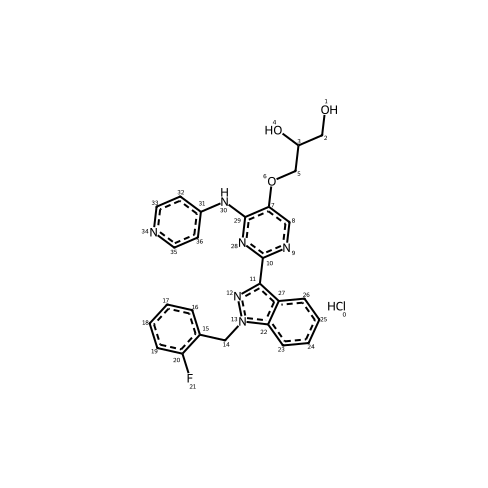 Cl.OCC(O)COc1cnc(-c2nn(Cc3ccccc3F)c3ccccc23)nc1Nc1ccncc1